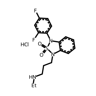 CCNCCCN1c2ccccc2N(c2ccc(F)cc2F)S1(=O)=O.Cl